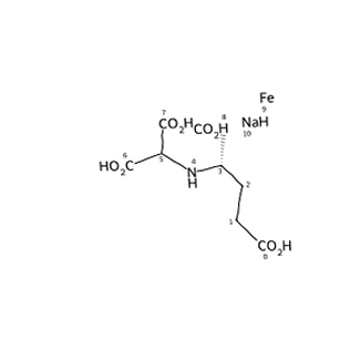 O=C(O)CC[C@H](NC(C(=O)O)C(=O)O)C(=O)O.[Fe].[NaH]